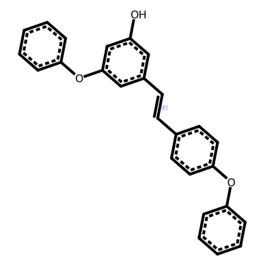 Oc1cc(/C=C/c2ccc(Oc3ccccc3)cc2)cc(Oc2ccccc2)c1